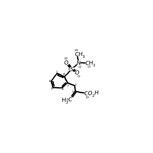 C=C(Cc1ccccc1S(=O)(=O)N(C)C)C(=O)O